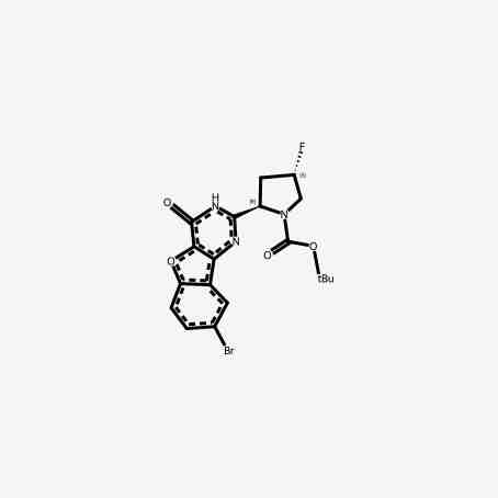 CC(C)(C)OC(=O)N1C[C@@H](F)C[C@@H]1c1nc2c(oc3ccc(Br)cc32)c(=O)[nH]1